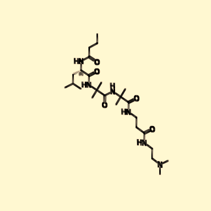 CCCC(=O)N[C@@H](CC(C)C)C(=O)NC(C)(C)C(=O)NC(C)(C)C(=O)NCCC(=O)NCCN(C)C